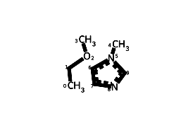 CCOC.Cn1ccnc1